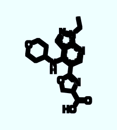 CCn1ncc2c(NC3CCOCC3)c(C3=NC(C(=O)O)CO3)cnc21